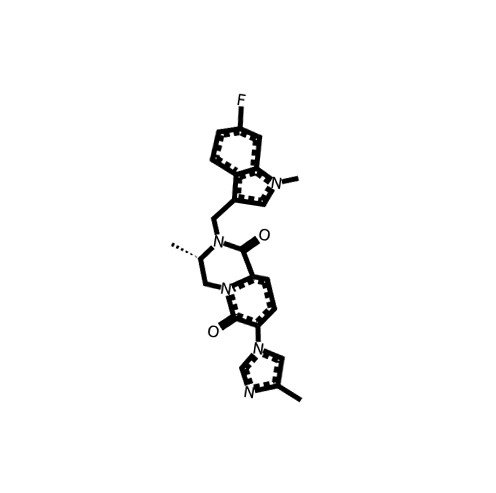 Cc1cn(-c2ccc3n(c2=O)C[C@H](C)N(Cc2cn(C)c4cc(F)ccc24)C3=O)cn1